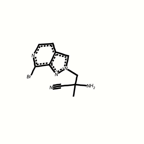 CC(N)(C#N)Cn1cc2ccnc(Br)c2n1